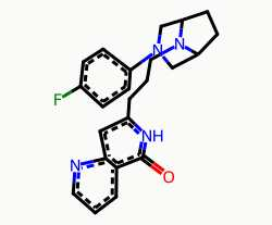 O=c1[nH]c(CCCN2C3CCC2CN(c2ccc(F)cc2)C3)cc2ncccc12